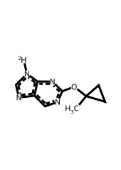 [2H]n1cnc2cnc(OC3(C)CC3)nc21